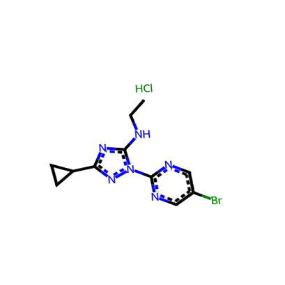 CCNc1nc(C2CC2)nn1-c1ncc(Br)cn1.Cl